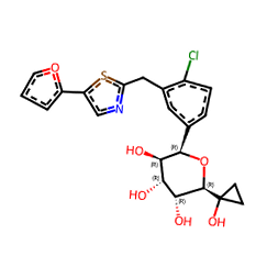 O[C@@H]1[C@@H](O)[C@@H](c2ccc(Cl)c(Cc3ncc(-c4ccco4)s3)c2)O[C@@H](C2(O)CC2)[C@@H]1O